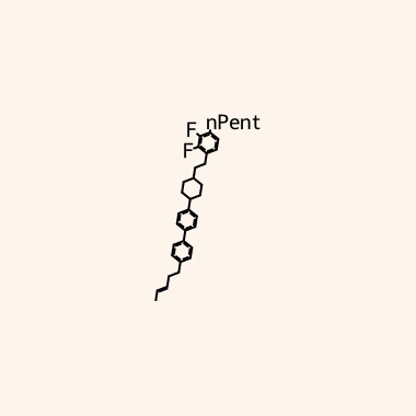 C/C=C/CCc1ccc(-c2ccc(C3CCC(CCc4ccc(CCCCC)c(F)c4F)CC3)cc2)cc1